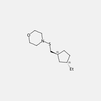 CC[C@H]1CC[C@H](CSN2CCOCC2)C1